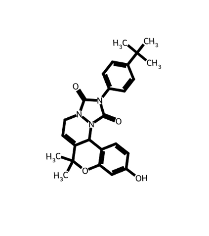 CC1(C)Oc2cc(O)ccc2C2C1=CCn1c(=O)n(-c3ccc(C(C)(C)C)cc3)c(=O)n12